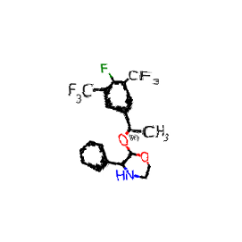 C[C@@H](OC1OCCNC1c1ccccc1)c1cc(C(F)(F)F)c(F)c(C(F)(F)F)c1